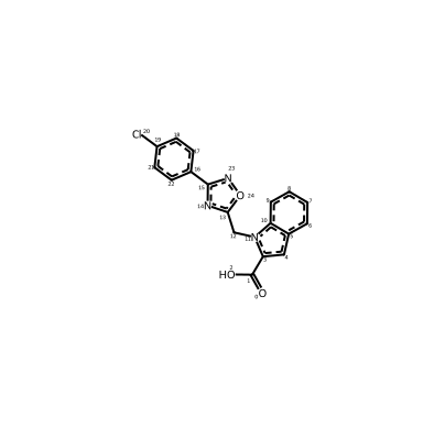 O=C(O)c1cc2ccccc2n1Cc1nc(-c2ccc(Cl)cc2)no1